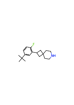 CC(C)(C)c1ccc(F)c(C2CC3(CCNCC3)C2)c1